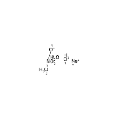 O.O.O.O=[N+]([O-])[O-].[Na+]